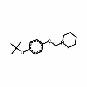 CC(C)(C)Oc1ccc(OCN2CCCCC2)cc1